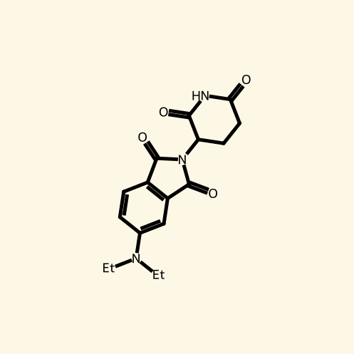 CCN(CC)c1ccc2c(c1)C(=O)N(C1CCC(=O)NC1=O)C2=O